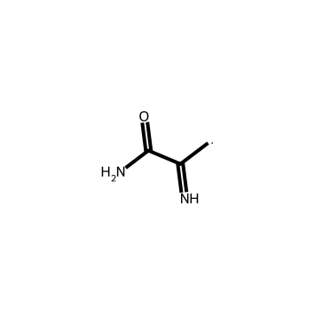 [CH2]C(=N)C(N)=O